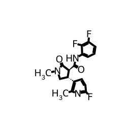 Cc1nc(F)ccc1[C@@H]1CN(C)C(=O)[C@H]1C(=O)Nc1cccc(F)c1F